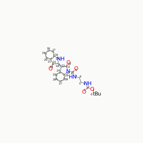 CC(C)(C)OC(=O)NCCNC(=O)N1C(=O)/C(=C2\Nc3ccccc3C2=O)c2ccccc21